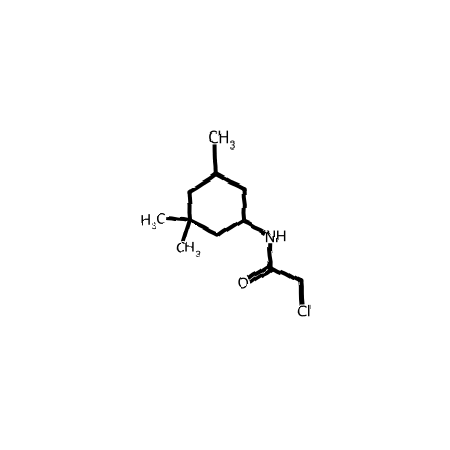 CC1CC(NC(=O)CCl)CC(C)(C)C1